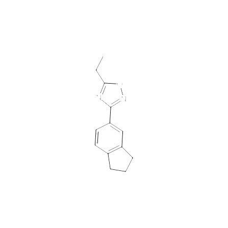 CCc1nc(-c2ccc3c(c2)CCC3)no1